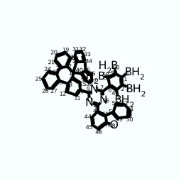 Bc1c(B)c(B)c(-c2nc(-c3ccc4c(c3)C3(c5ccccc5-c5ccccc5-4)c4ccccc4-c4ccccc43)nc(-c3cccc4oc5c#cccc5c34)n2)c(B)c1B